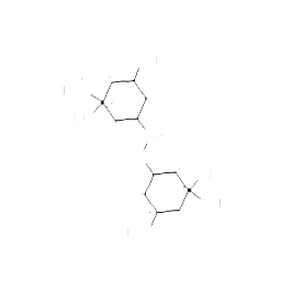 CC1CC(OOC2CC(C)CC(C)(C)C2)CC(C)(C)C1